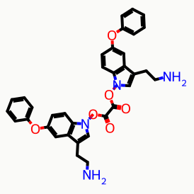 NCCc1cn(OC(=O)C(=O)On2cc(CCN)c3cc(Oc4ccccc4)ccc32)c2ccc(Oc3ccccc3)cc12